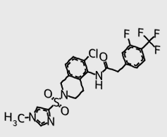 Cn1cnc(S(=O)(=O)N2CCc3c(ccc(Cl)c3NC(=O)Cc3ccc(C(F)(F)F)c(F)c3)C2)c1